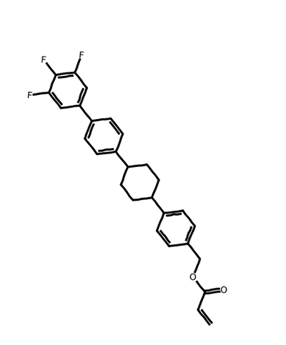 C=CC(=O)OCc1ccc(C2CCC(c3ccc(-c4cc(F)c(F)c(F)c4)cc3)CC2)cc1